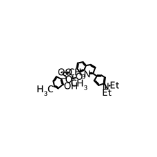 CCN(CC)c1ccc(-c2ccc3cccc(OC(C)(C)OS(=O)(=O)c4ccc(C)cc4O)c3n2)cc1